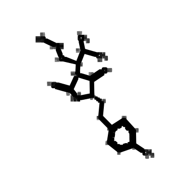 Cc1ccc(CC[C@@H]2NC(=O)N([C@@H](ONO)C(C)C)C2=O)cc1